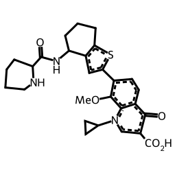 COc1c(-c2cc3c(s2)CCCC3NC(=O)C2CCCCN2)ccc2c(=O)c(C(=O)O)cn(C3CC3)c12